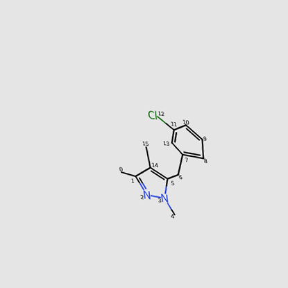 Cc1nn(C)c(Cc2cccc(Cl)c2)c1C